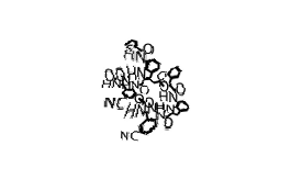 N#Cc1ccc(NC(=O)c2cc3cccc(NC(=O)C(OC(=O)Cc4c(C(=O)Nc5ccc(C#N)cc5-c5noc(=O)[nH]5)[nH]c5c(NC(=O)c6cccs6)cccc45)c4ccccc4)c3[nH]2)c(-c2noc(=O)[nH]2)c1